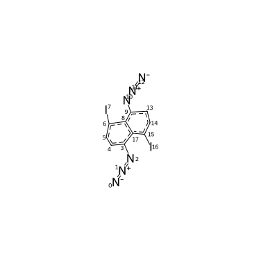 [N-]=[N+]=Nc1ccc(I)c2c(N=[N+]=[N-])ccc(I)c12